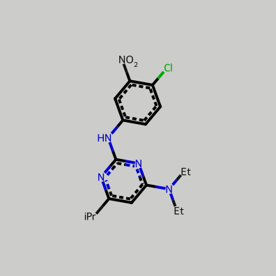 CCN(CC)c1cc(C(C)C)nc(Nc2ccc(Cl)c([N+](=O)[O-])c2)n1